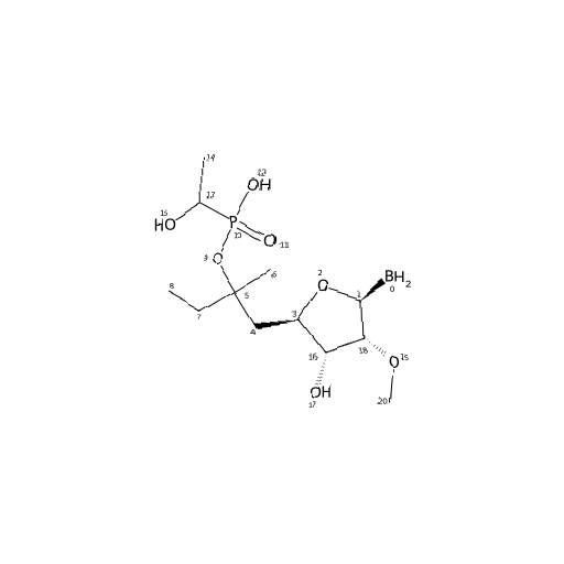 B[C@@H]1O[C@H](CC(C)(CC)OP(=O)(O)C(C)O)[C@@H](O)[C@H]1OC